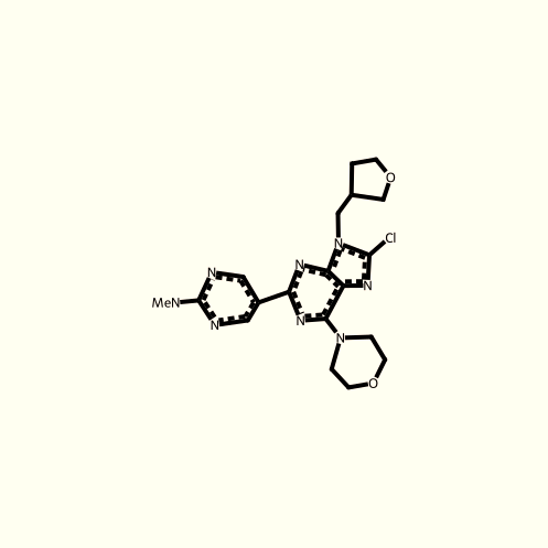 CNc1ncc(-c2nc(N3CCOCC3)c3nc(Cl)n(CC4CCOC4)c3n2)cn1